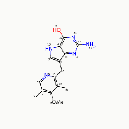 COc1c(C)cnc(Cc2c[nH]c3c(O)nc(N)nc23)c1C